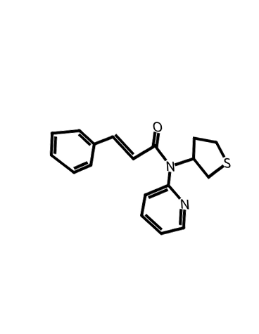 O=C(/C=C/c1ccccc1)N(c1ccccn1)C1CCSC1